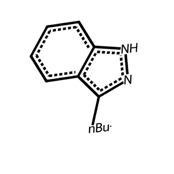 CCC[CH]c1n[nH]c2ccccc12